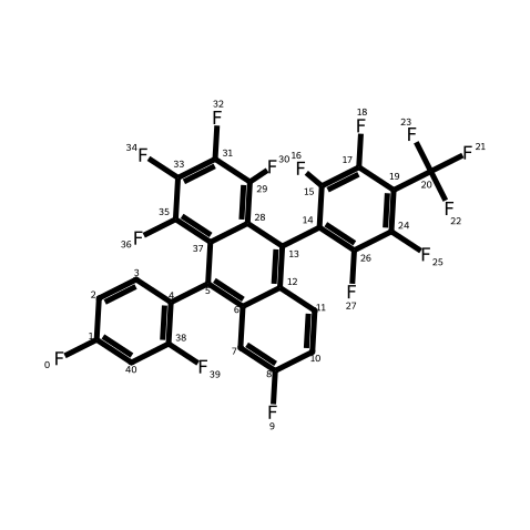 Fc1ccc(-c2c3cc(F)ccc3c(-c3c(F)c(F)c(C(F)(F)F)c(F)c3F)c3c(F)c(F)c(F)c(F)c23)c(F)c1